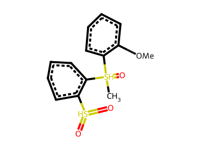 COc1ccccc1[SH](C)(=O)c1ccccc1[SH](=O)=O